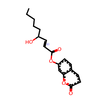 CCCCCC(O)/C=C/C(=O)Oc1ccc2ccc(=O)oc2c1